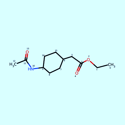 CCOC(=O)CC1CCC(NC(C)=O)CC1